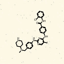 CN(Cc1ccc(Nc2ncc(F)c(Nc3ccc(C(=O)Nc4ccccc4Cl)cc3)n2)cc1)C1CCNCC1